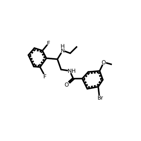 CCNC(CNC(=O)c1cc(Br)cc(OC)c1)c1c(F)cccc1F